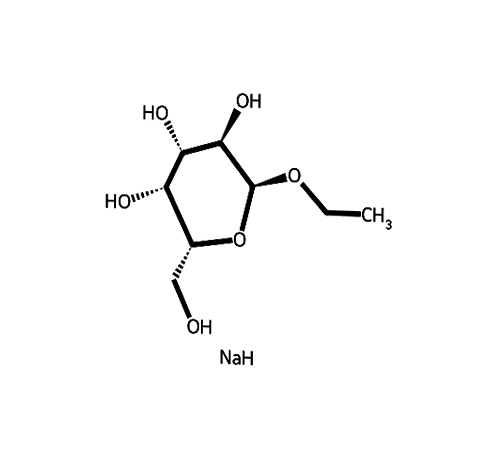 CCO[C@H]1O[C@H](CO)[C@H](O)[C@H](O)[C@H]1O.[NaH]